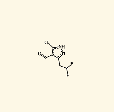 O=Cc1c(CC(F)F)n[nH]c1Cl